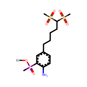 CCOP(C)(=O)c1cc(CCCCC(S(C)(=O)=O)S(C)(=O)=O)ccc1N